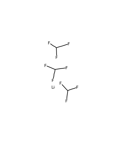 FC(F)F.FC(F)F.FC(F)F.[Li]